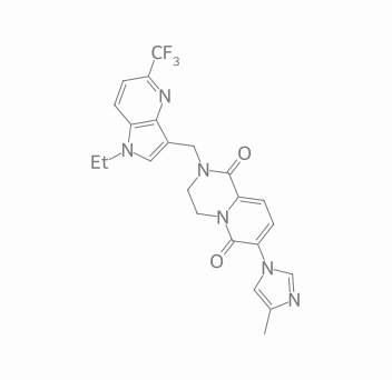 CCn1cc(CN2CCn3c(ccc(-n4cnc(C)c4)c3=O)C2=O)c2nc(C(F)(F)F)ccc21